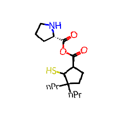 CCCC1(CCC)CCC(C(=O)OC(=O)[C@@H]2CCCN2)C1S